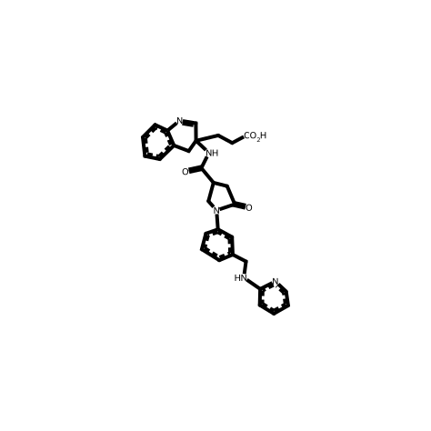 O=C(O)CCC1(NC(=O)C2CC(=O)N(c3cccc(CNc4ccccn4)c3)C2)C=Nc2ccccc2C1